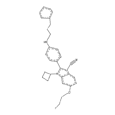 N#Cc1c(-c2ccc(NCCCc3ccccc3)cc2)n(C2CCC2)c2cc(OCCF)ccc12